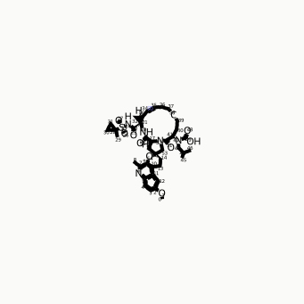 COc1ccc2nc(C)c3c(c2c1)CC[C@]1(C[C@H]2C(=O)N[C@]4(C(=O)NS(=O)(=O)C5(C)CC5)C[C@H]4/C=C\CCCCC[C@H](N(CC(C)C)C(=O)O)C(=O)N2C1)O3